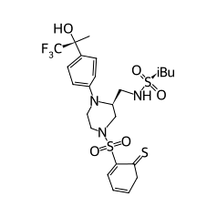 CC[C@H](C)S(=O)(=O)NC[C@H]1CN(S(=O)(=O)C2=CC=CCC2=S)CCN1c1ccc([C@@](C)(O)C(F)(F)F)cc1